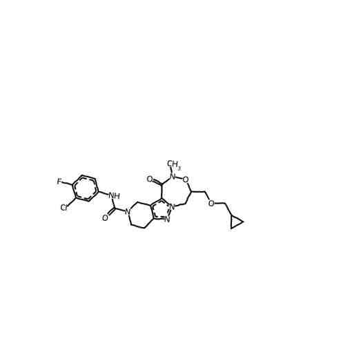 CN1OC(COCC2CC2)Cn2nc3c(c2C1=O)CN(C(=O)Nc1ccc(F)c(Cl)c1)CC3